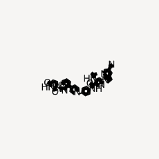 CC(C)Nc1cc(-n2ccc3cc(C#N)cnc32)ncc1C(=O)N[C@H]1CC[C@H](CN2CCC(c3cccn4c(N5CCC(=O)NC5=O)cnc34)CC2)CC1